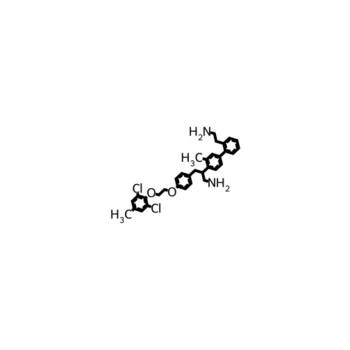 Cc1cc(Cl)c(OCCOc2ccc(CC(CN)c3ccc(-c4ccccc4CCN)cc3C)cc2)c(Cl)c1